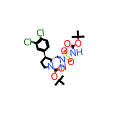 CC(C)(C)OC(=O)NS(=O)(=O)NC[C@H]1[C@H](c2ccc(Cl)c(Cl)c2)CCN1C(=O)OC(C)(C)C